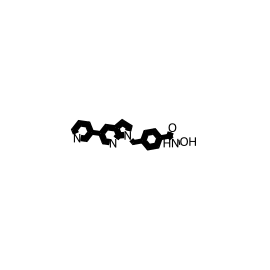 O=C(NO)c1ccc(Cn2ccc3cc(-c4cccnc4)cnc32)cc1